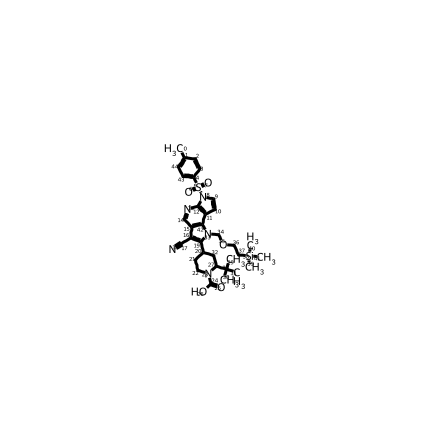 Cc1ccc(S(=O)(=O)n2ccc3c2ncc2c(C#N)c(C4CCN(C(=O)O)C(C(C)(C)C)C4)n(COCC[Si](C)(C)C)c23)cc1